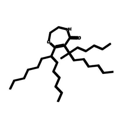 CCCCCCC(CCCCCC)C1=C(C(C)(CCCCC)CCCCCC)C(=O)NCCO1